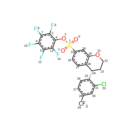 O=S(=O)(Oc1c(F)c(F)c(F)c(F)c1F)c1ccc2c(c1)OCC[C@@H]2c1ccc(C(F)(F)F)cc1Cl